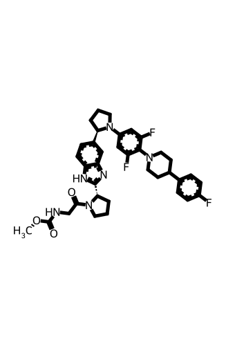 COC(=O)NCC(=O)N1CCC[C@H]1c1nc2cc([C@H]3CCCN3c3cc(F)c(N4CCC(c5ccc(F)cc5)CC4)c(F)c3)ccc2[nH]1